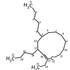 CCCCCC1CCCCCCC/C(CC)=C/C(CCCC)C1